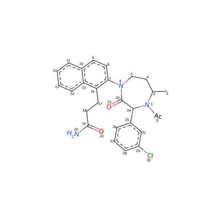 CC(=O)N1C(C)CCN(c2ccc3ccccc3c2CCC(N)=O)C(=O)C1c1cccc(Cl)c1